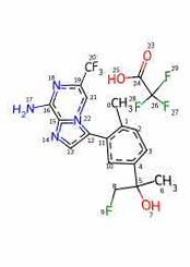 Cc1ccc(C(C)(O)CF)cc1-c1cnc2c(N)nc(C(F)(F)F)cn12.O=C(O)C(F)(F)F